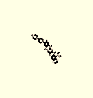 CCN(SC)c1c(N(I)c2nc(N(C)c3cc(C)c(N4CCC(N5CCN(C)CC5)CC4)cc3OC)ncc2Br)ccc2nccnc12